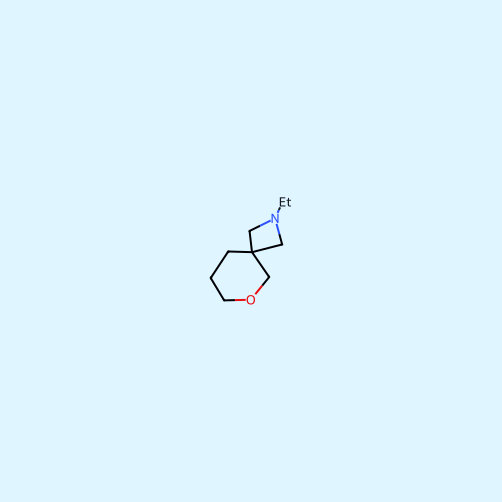 CCN1CC2(CCCOC2)C1